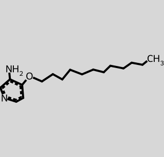 CCCCCCCCCCCCOc1ccncc1N